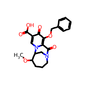 COC1CCCN2CC1n1cc(C(=O)O)c(=O)c(OCc3ccccc3)c1C2=O